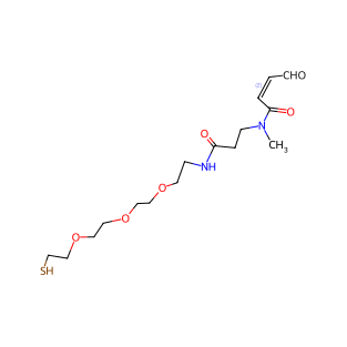 CN(CCC(=O)NCCOCCOCCOCCS)C(=O)/C=C\C=O